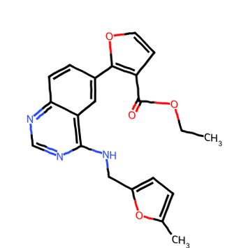 CCOC(=O)c1ccoc1-c1ccc2ncnc(NCc3ccc(C)o3)c2c1